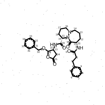 O=C(CCc1ccccc1)N[C@H]1CCCN2CCC[C@@H](C(=O)N[C@H]3CC(=O)OC3OCc3ccccc3)N2C1=O